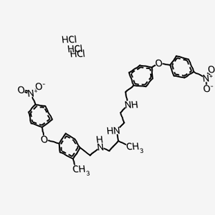 Cc1cc(Oc2ccc([N+](=O)[O-])cc2)ccc1CNCC(C)NCCNCc1ccc(Oc2ccc([N+](=O)[O-])cc2)cc1.Cl.Cl.Cl